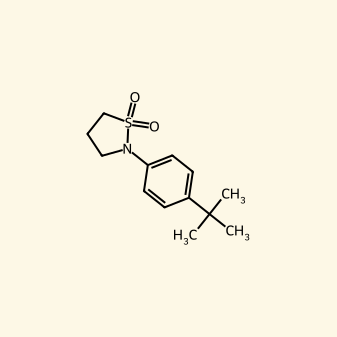 CC(C)(C)c1ccc(N2CCCS2(=O)=O)cc1